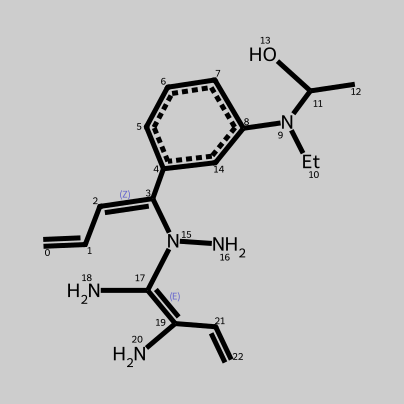 C=C/C=C(/c1cccc(N(CC)C(C)O)c1)N(N)/C(N)=C(/N)C=C